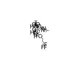 CC(C)Cn1ccc(C2=C(C(=O)NS(=O)(=O)C3CC3)C(=O)NC(c3ccc(CCCCC(F)(F)F)cc3)(C(F)(F)F)C2)n1